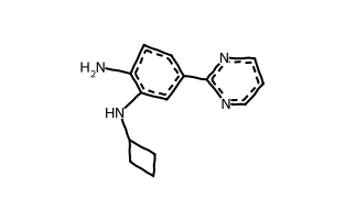 Nc1ccc(-c2ncccn2)cc1NC1CCC1